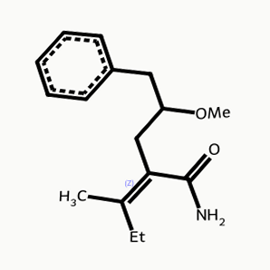 CC/C(C)=C(/CC(Cc1ccccc1)OC)C(N)=O